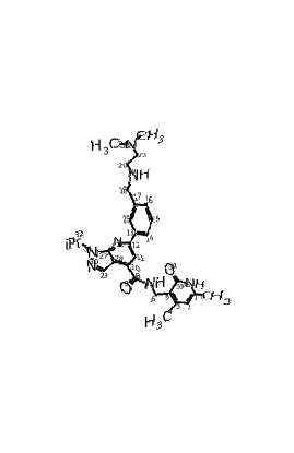 Cc1cc(C)c(CNC(=O)c2cc(-c3cccc(CNCCN(C)C)c3)nc3c2cnn3C(C)C)c(=O)[nH]1